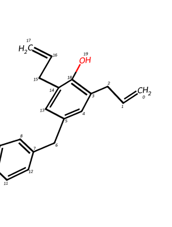 C=CCc1cc(Cc2ccccc2)cc(CC=C)c1O